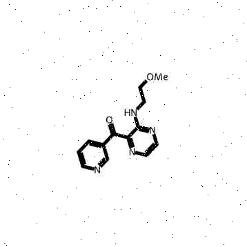 COCCNc1nccnc1C(=O)c1cccnc1